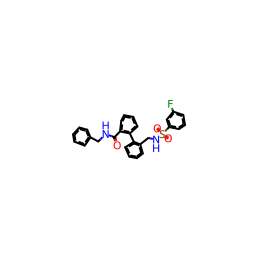 O=C(NCc1ccccc1)c1ccccc1-c1ccccc1CNS(=O)(=O)c1cccc(F)c1